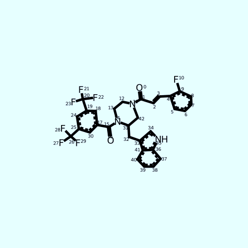 O=C(/C=C/c1ccccc1F)N1CCN(C(=O)c2cc(C(F)(F)F)cc(C(F)(F)F)c2)C(Cc2c[nH]c3ccccc23)C1